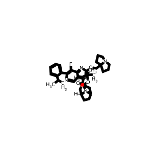 CC(C)c1ccccc1-c1ncc2c(N3CC4CC[C@@H](C3)N4C(=O)OC(C)(C)C)nc(OCC34CCCN3CCC4)nc2c1F